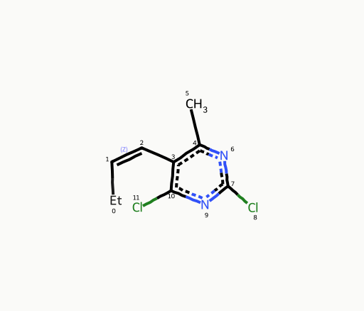 CC/C=C\c1c(C)nc(Cl)nc1Cl